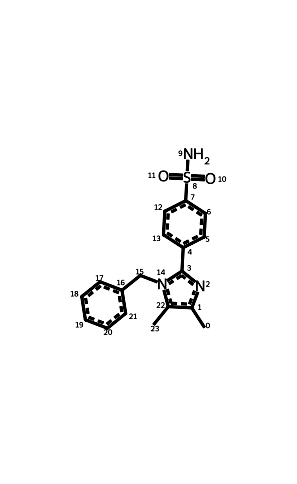 Cc1nc(-c2ccc(S(N)(=O)=O)cc2)n(Cc2ccccc2)c1C